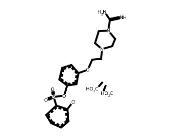 CC(=O)O.CC(=O)O.N=C(N)N1CCN(CCOc2cccc(OS(=O)(=O)c3ccccc3Cl)c2)CC1